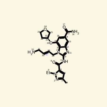 CCn1nc(C)cc1C(=O)Nc1nc2cc(C(N)=O)cc(O[C@H]3CCOC3)c2n1C/C=C/CN